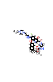 CN1CCN(CCCNc2c(F)cc3c(=O)c(C(=O)N4CC[C@@H](NC(=O)OC(C)(C)C)C4)cn4c3c2Oc2cc3ccccc3cc2-4)CC1